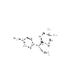 NCC(c1cnc(N)nc1)N1CCC(F)(F)CC1